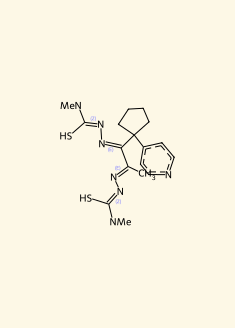 CN/C(S)=N/N=C(C)/C(=N/N=C(\S)NC)C1(c2ccncc2)CCCC1